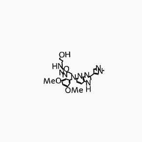 COc1cc(OC)cc(N(Cc2nnc(NCCO)o2)c2ccc3c(n2)N=C(c2cnn(C)c2)CN3)c1